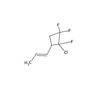 CC=CC1CC(F)(F)C1(F)Cl